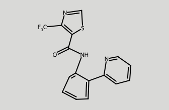 O=C(Nc1ccccc1-c1ccccn1)c1scnc1C(F)(F)F